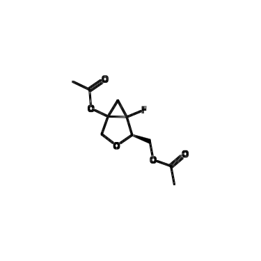 CC(=O)OC[C@H]1OCC2(OC(C)=O)CC12F